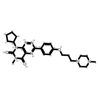 CN1CCN(CCCOc2ccc(-c3nnc4c(n3)c(=O)n(C)c(=O)n4C3CCCC3)cc2)CC1